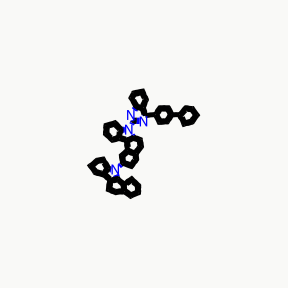 c1ccc(-c2ccc(-c3nc(-n4c5ccccc5c5c6cc(-n7c8ccccc8c8ccc9ccccc9c87)ccc6ccc54)nc4ccccc34)cc2)cc1